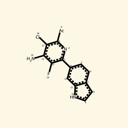 CC(=O)c1nc(-c2ccc3cc[nH]c3c2)c(F)c(N)c1Cl